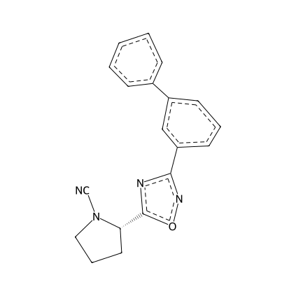 N#CN1CCC[C@H]1c1nc(-c2cccc(-c3ccccc3)c2)no1